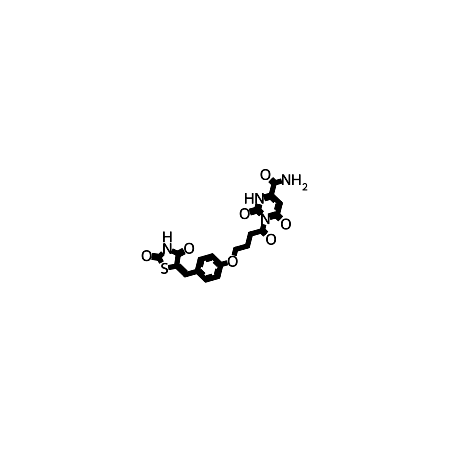 NC(=O)c1cc(=O)n(C(=O)CCCOc2ccc(C=C3SC(=O)NC3=O)cc2)c(=O)[nH]1